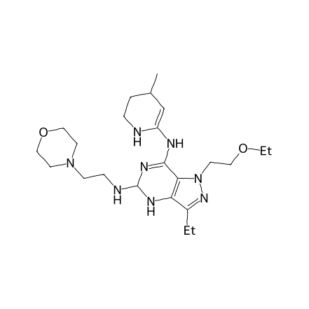 CCOCCn1nc(CC)c2c1C(NC1=CC(C)CCN1)=NC(NCCN1CCOCC1)N2